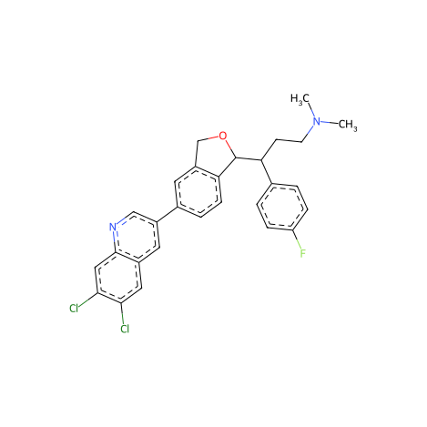 CN(C)CCC(c1ccc(F)cc1)C1OCc2cc(-c3cnc4cc(Cl)c(Cl)cc4c3)ccc21